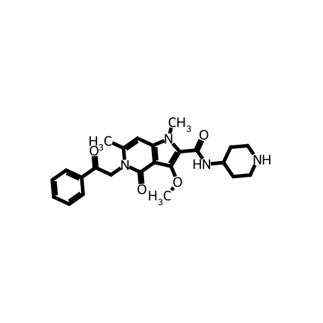 COc1c(C(=O)NC2CCNCC2)n(C)c2cc(C)n(CC(=O)c3ccccc3)c(=O)c12